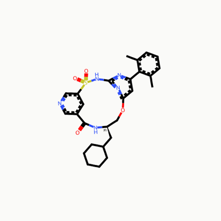 Cc1cccc(C)c1-c1cc2nc(n1)NS(=O)(=O)c1cncc(c1)C(=O)N[C@H](CC1CCCCC1)CO2